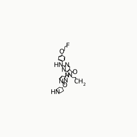 C=CCn1c(=O)c2cnc(Nc3ccc(OCCF)cc3)nc2n1-c1ccnc(OC2CCNCC2)n1